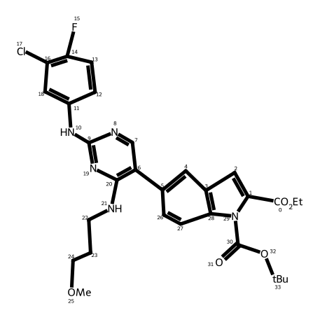 CCOC(=O)c1cc2cc(-c3cnc(Nc4ccc(F)c(Cl)c4)nc3NCCCOC)ccc2n1C(=O)OC(C)(C)C